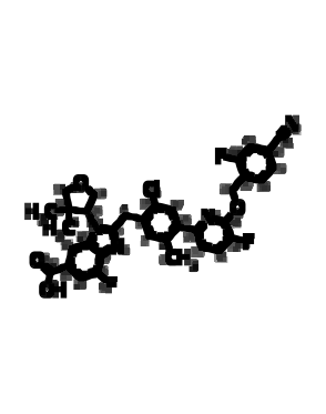 Cc1cc(Cc2nc3c(F)cc(C(=O)O)cc3n2[C@@H]2COCC2(C)C)c(Cl)cc1-c1ccc(F)c(OCc2ccc(C#N)cc2F)n1